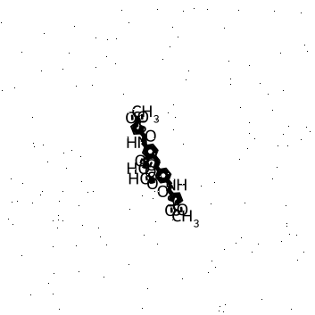 CS(=O)(=O)c1ccc(C(=O)Nc2ccc(C=Cc3ccc(NC(=O)c4ccc(S(C)(=O)=O)s4)cc3S(=O)(=O)O)c(S(=O)(=O)O)c2)s1